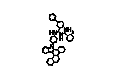 NC(NC(NC1C=CC(n2c3ccccc3c3c4c(c5c(c32)C=CCC5)C=CC2C=CC=CC42)=CC1)C1C=CC=C(c2ccccc2)C1)C1=CC=CCC1